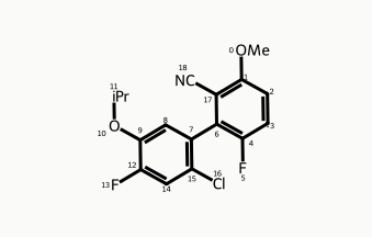 COc1c[c]c(F)c(-c2cc(OC(C)C)c(F)cc2Cl)c1C#N